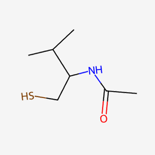 CC(=O)NC(CS)C(C)C